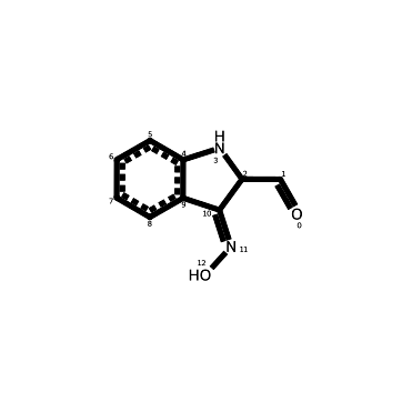 O=CC1Nc2ccccc2C1=NO